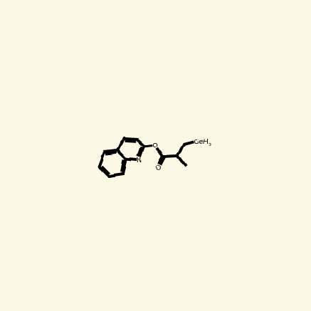 CC([CH2][GeH3])C(=O)Oc1ccc2ccccc2n1